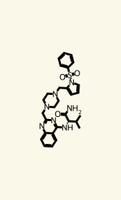 CC(C)[C@H](Nc1nc(CN2CCN(Cc3cccn3S(=O)(=O)c3ccccc3)CC2)nc2ccccc12)C(N)=O